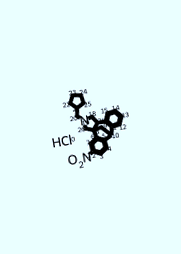 Cl.O=[N+]([O-])c1ccc2c(c1)C13CC2c2ccccc2C1CN(CC1CCCC1)C3